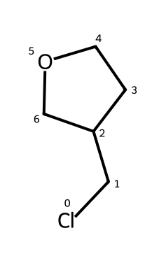 ClCC1CCOC1